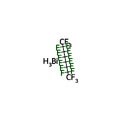 FC(F)(F)C(F)(F)C(F)(F)C(F)(F)C(F)(F)C(F)(F)C(F)(F)C(F)(F)F.[BiH3]